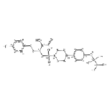 O=CN(O)C(CCc1ncc(F)cn1)CS(=O)(=O)N1CCN(c2ccc(OC(F)(F)C(F)F)cc2)CC1